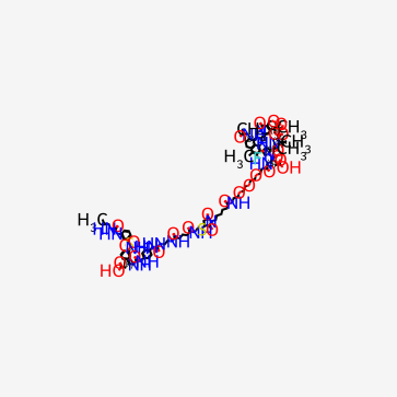 CCCNC(=O)Nc1cccc(S(=O)(=O)Nc2cccc([C@@H](CC(=O)O)NC(=O)Nc3ccc(NC(=O)NCCNC(=O)CCCC(=O)NCSC4CC(=O)N(CCCCCC(=O)NCCOCCOCCOCCC(=O)N[C@@H](CC(=O)O)C(=O)N5CCC[C@H]5C(=O)N[C@H](C(=O)O[C@]5(CC)C(=O)OCc6c5cc5n(c6=O)Cc6c-5nc5cc(F)c(C)c7c5c6[C@@H](NC(C)=O)CC7)C(C)C)C4=O)cc3)c2)c1